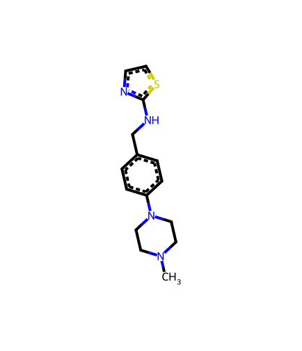 CN1CCN(c2ccc(CNc3nccs3)cc2)CC1